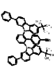 CC(C)(C)c1ccc2c(c1)c1ccc(-c3ccccc3)cc1n2-c1cccc(-n2c3ccc(C(C)(C)C)cc3c3ccc(-c4ccccc4)cc32)c1-c1ccc(C#N)cc1